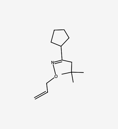 C=CCO/N=C(\CC(C)(C)C)C1CCCC1